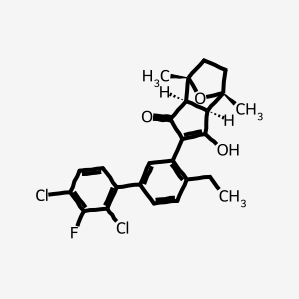 CCc1ccc(-c2ccc(Cl)c(F)c2Cl)cc1C1=C(O)[C@H]2[C@@H](C1=O)[C@]1(C)CC[C@@]2(C)O1